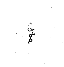 CC(C)(C)OC(=O)N1CCCc2nc(C3(c4cccc(-c5ccc6sccc6c5)c4)CC3)[nH]c(=O)c2C1